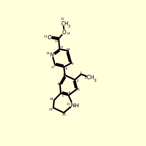 CCc1cc2c(cc1-c1ccc(C(=O)OC)nc1)CCCN2